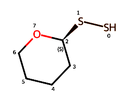 SS[C@H]1CCCCO1